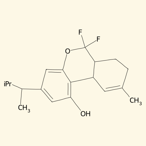 CC1=CC2c3c(O)cc(C(C)C(C)C)cc3OC(F)(F)C2CC1